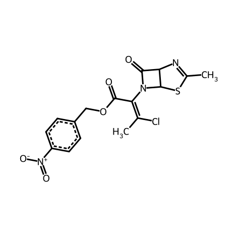 CC1=NC2C(=O)N(C(C(=O)OCc3ccc([N+](=O)[O-])cc3)=C(C)Cl)C2S1